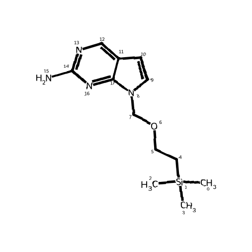 C[Si](C)(C)CCOCn1ccc2cnc(N)nc21